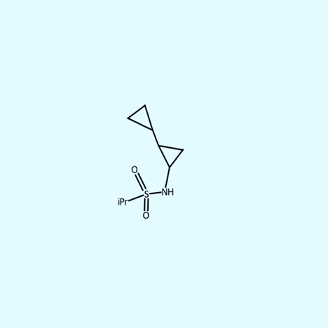 CC(C)S(=O)(=O)NC1CC1C1CC1